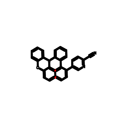 N#Cc1ccc(-c2ccccc2-c2ccccc2N2c3ccccc3Oc3ccccc32)cn1